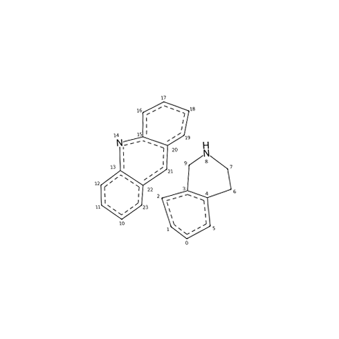 c1ccc2c(c1)CCNC2.c1ccc2nc3ccccc3cc2c1